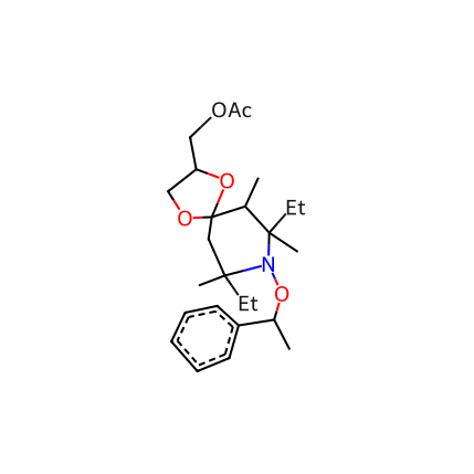 CCC1(C)CC2(OCC(COC(C)=O)O2)C(C)C(C)(CC)N1OC(C)c1ccccc1